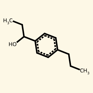 CCCc1ccc(C(O)CC)cc1